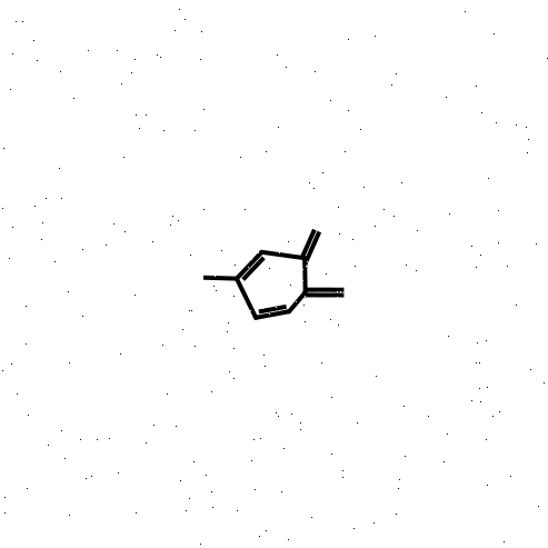 C=c1ccc(C)cc1=C